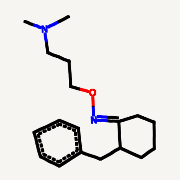 CN(C)CCCON=C1CCCCC1Cc1ccccc1